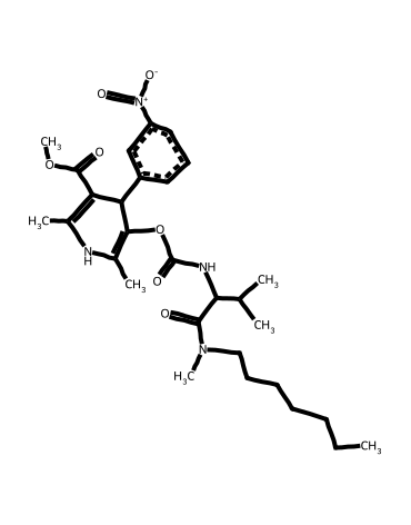 CCCCCCCN(C)C(=O)C(NC(=O)OC1=C(C)NC(C)=C(C(=O)OC)C1c1cccc([N+](=O)[O-])c1)C(C)C